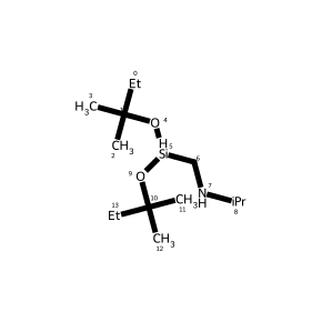 CCC(C)(C)O[SiH](CNC(C)C)OC(C)(C)CC